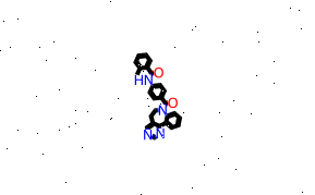 Cc1ccccc1C(=O)Nc1ccc(C(=O)N2CCc3cncnc3-c3ccccc32)cc1